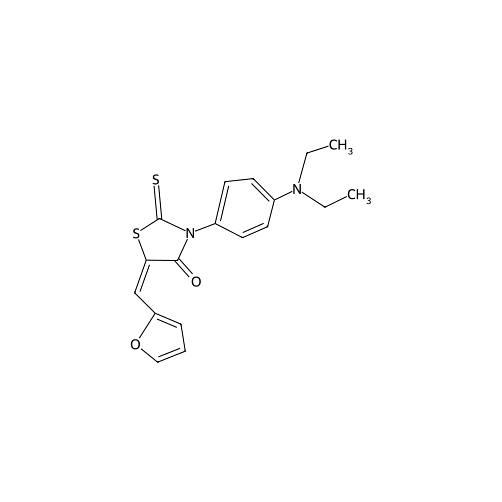 CCN(CC)c1ccc(N2C(=O)/C(=C\c3ccco3)SC2=S)cc1